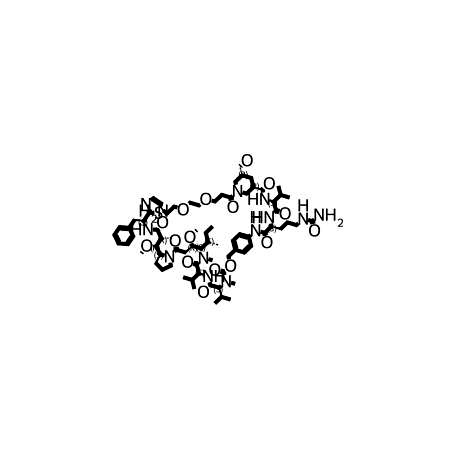 CC[C@H](C)[C@@H]([C@@H](CC(=O)N1CCC[C@H]1[C@H](OC)[C@@H](C)C(=O)N[C@@H](Cc1ccccc1)c1nccs1)OC)N(C)C(=O)[C@@H](NC(=O)[C@H](C(C)C)N(C)C(=O)OCc1ccc(NC(=O)[C@H](CCCNC(N)=O)NC(=O)[C@@H](NC(=O)[C@@H]2C[C@@H](C=O)CN(C(=O)CCOCCOCCN)C2)C(C)C)cc1)C(C)C